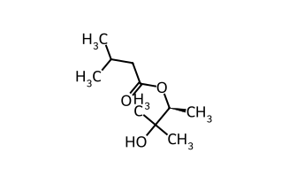 CC(C)CC(=O)O[C@@H](C)C(C)(C)O